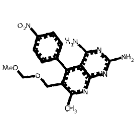 COCOCc1c(C)nc2nc(N)nc(N)c2c1-c1ccc([N+](=O)[O-])cc1